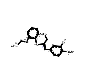 COC/C(=C\c1ccc(OC)c(Br)c1)Sc1ccccc1NCC=O